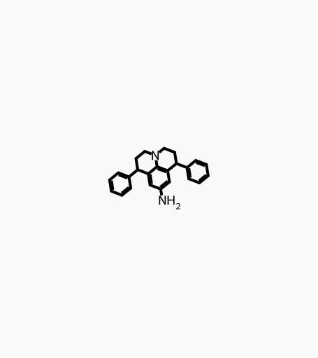 Nc1cc2c3c(c1)C(c1ccccc1)CCN3CCC2c1ccccc1